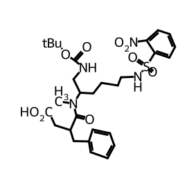 CN(C(=O)C(CC(=O)O)Cc1ccccc1)C(CCCCNS(=O)(=O)c1ccccc1[N+](=O)[O-])CNC(=O)OC(C)(C)C